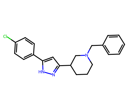 Clc1ccc(-c2cc(C3CCCN(Cc4ccccc4)C3)n[nH]2)cc1